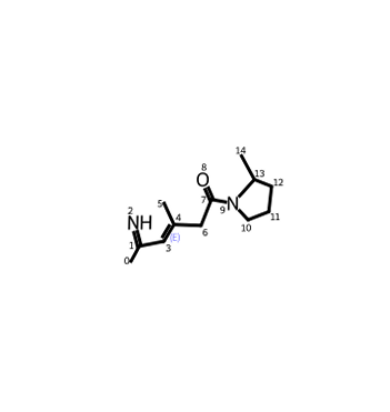 CC(=N)/C=C(\C)CC(=O)N1CCCC1C